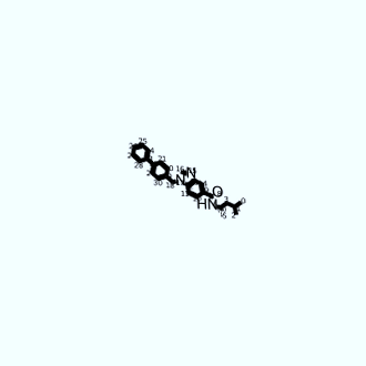 CC(C)C[C@H](C)NC(=O)c1ccc2c(c1)ncn2Cc1ccc(-c2ccccc2)cc1